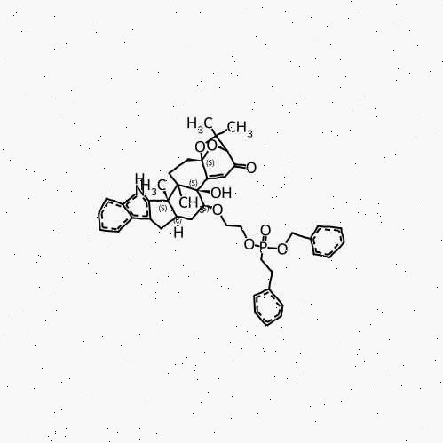 CC1(C)O[C@@]23CCC4(C)[C@@]5(C)c6[nH]c7ccccc7c6C[C@@H]5C[C@H](OCCOP(=O)(CCc5ccccc5)OCc5ccccc5)[C@@]4(O)C2=CC(=O)C1O3